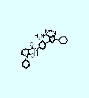 Nc1ncnn2c(C3CCCCC3)cc(-c3ccc(NC(=O)c4cccn(-c5ccccc5)c4=O)cc3)c12